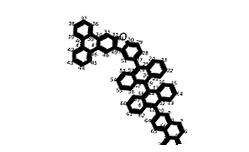 c1ccc2c(c1)ccc1cc(-c3c4ccccc4c(-c4c5ccccc5c(-c5ccc6oc7cc8c9ccccc9c9ccccc9c8cc7c6c5)c5ccccc45)c4ccccc34)ccc12